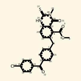 COC(=O)c1c(Cc2ccc(C(=O)c3ccc(Cl)cc3)cc2)ccc2[nH]c(=S)n(C)c(=O)c12